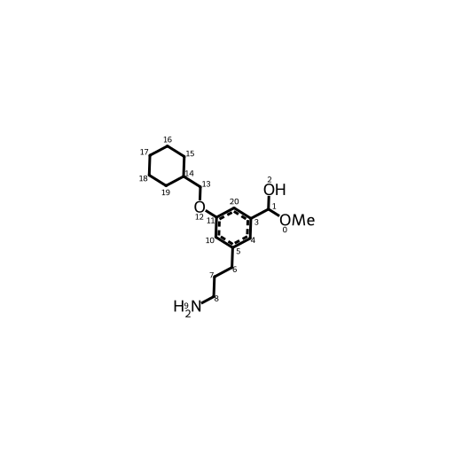 COC(O)c1cc(CCCN)cc(OCC2CCCCC2)c1